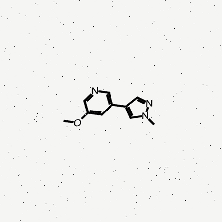 COc1cncc(-c2cnn(C)c2)c1